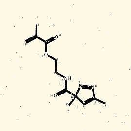 C=C(C)C(=O)OCCNC(=O)C1(C)C=C(C)N=N1